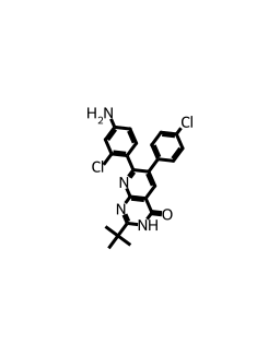 CC(C)(C)c1nc2nc(-c3ccc(N)cc3Cl)c(-c3ccc(Cl)cc3)cc2c(=O)[nH]1